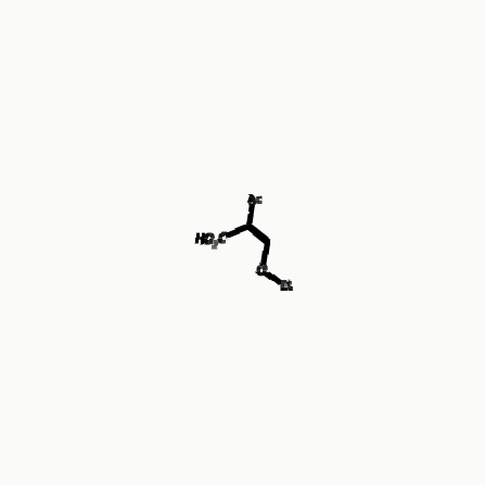 CCOCC(C(C)=O)C(=O)O